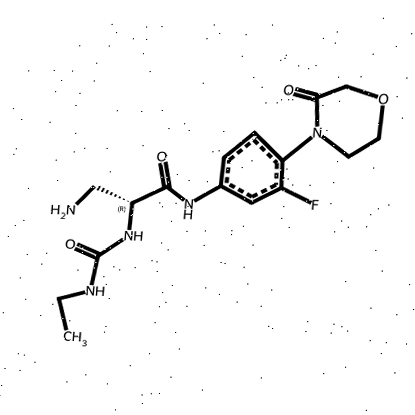 CCNC(=O)N[C@H](CN)C(=O)Nc1ccc(N2CCOCC2=O)c(F)c1